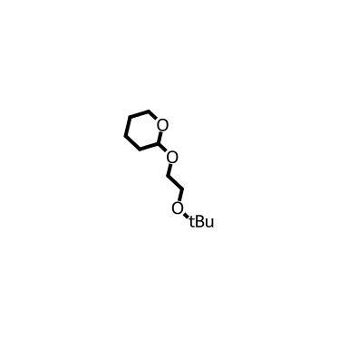 CC(C)(C)OCCOC1CCCCO1